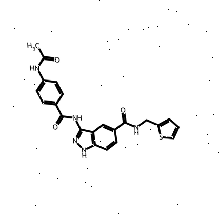 CC(=O)Nc1ccc(C(=O)Nc2n[nH]c3ccc(C(=O)NCc4cccs4)cc23)cc1